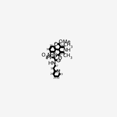 COC(=O)C1=C(C)NC(C)=C(C(=O)NC(C(=O)NCCc2ccccn2)C(C)C)C1c1cccc([N+](=O)[O-])c1